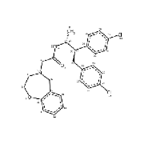 C[C@@H](NC(=O)CN1CCOc2ccccc2C1)[C@H](Cc1ccc(Cl)cc1)c1ccc(Cl)cc1